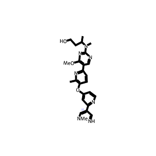 CN/C=C(\C=N)c1cc(Oc2ccc(-c3cnc(N(C)C(C)CCO)nc3OC)nc2C)ccn1